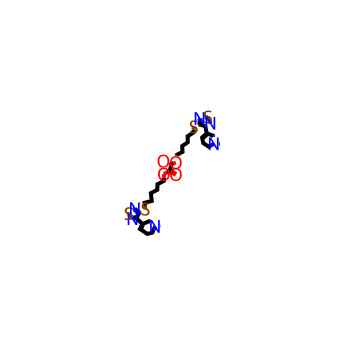 CN1CCC=C(c2nsnc2SCCCCCCOC(=O)C(=O)OCCCCCCSc2nsnc2C2=CCCN(C)C2)C1